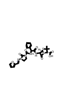 CC1(C)S[C@@H]2C(NC(=O)C(NC(=O)N3CCN(/N=C/c4ccco4)C3=O)c3ccccc3)C(=O)N2[C@H]1C(=O)O